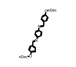 CCCCCCCCCCOc1ccc(C=Nc2ccc(N=Cc3ccc(OCCCCCCCCCC)cc3)cc2)cc1